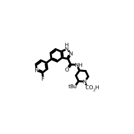 CC(C)(C)C1CC(NC(=O)c2n[nH]c3ccc(-c4ccnc(F)c4)cc23)CCN1C(=O)O